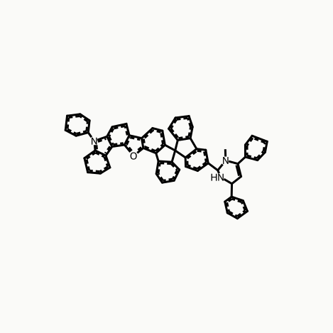 CN1C(c2ccccc2)=CC(c2ccccc2)NC1c1ccc2c(c1)-c1ccccc1C21c2ccccc2-c2c1ccc1c2oc2c1ccc1c2c2ccccc2n1-c1ccccc1